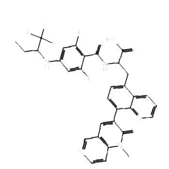 CCC(Nc1cc(F)c(C(=O)NC(Cc2ccc(-c3cc4cnccc4n(C)c3=O)c3ncccc23)C(=O)O)c(F)c1)C(F)(F)F